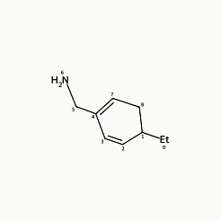 CCC1C=CC(CN)=CC1